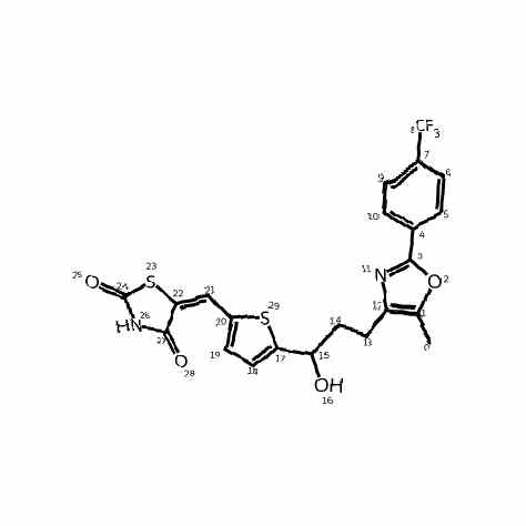 Cc1oc(-c2ccc(C(F)(F)F)cc2)nc1CCC(O)c1ccc(/C=C2/SC(=O)NC2=O)s1